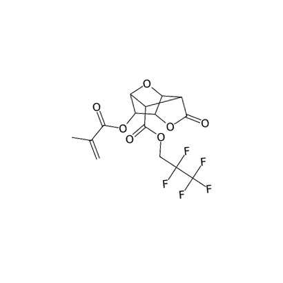 C=C(C)C(=O)OC1C2OC(=O)C3C2OC1C3C(=O)OCC(F)(F)C(F)(F)F